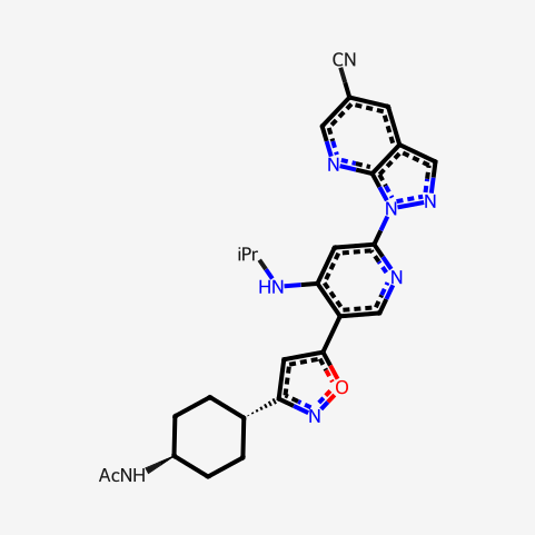 CC(=O)N[C@H]1CC[C@H](c2cc(-c3cnc(-n4ncc5cc(C#N)cnc54)cc3NC(C)C)on2)CC1